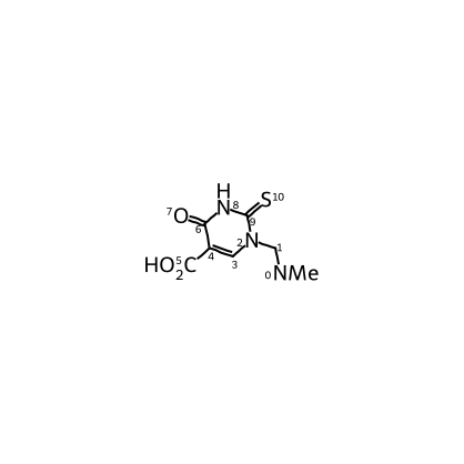 CNCn1cc(C(=O)O)c(=O)[nH]c1=S